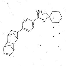 CC1(OC(=O)c2ccc(C3CC4CC3C3C5C=CC(C5)C43)cc2)CCCCC1